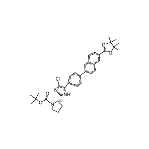 CC(C)(C)OC(=O)N1CCC[C@H]1c1nc(Cl)c(-c2ccc(-c3ccc4cc(B5OC(C)(C)C(C)(C)O5)ccc4c3)cc2)[nH]1